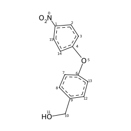 O=[N+]([O-])c1ccc(Oc2ccc(CO)cc2)cc1